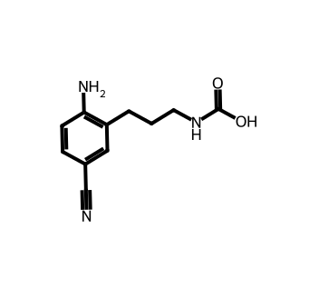 N#Cc1ccc(N)c(CCCNC(=O)O)c1